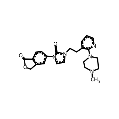 CN1CCN(c2ncccc2CCn2ccn(-c3ccc4c(c3)COC4=O)c2=O)CC1